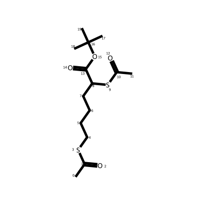 CC(=O)SCCCCC(SC(C)=O)C(=O)OC(C)(C)C